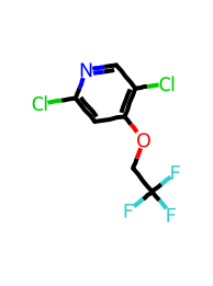 FC(F)(F)COc1cc(Cl)ncc1Cl